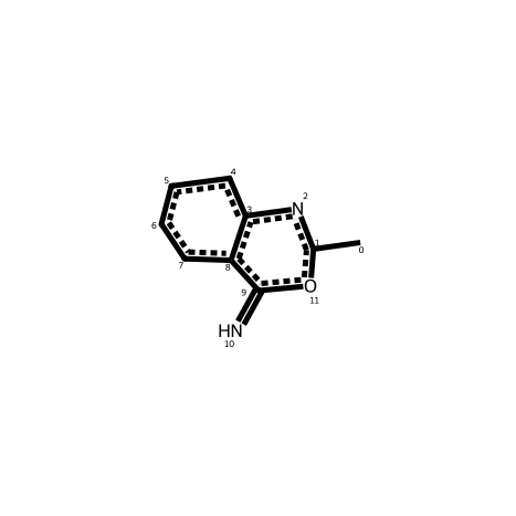 Cc1nc2ccccc2c(=N)o1